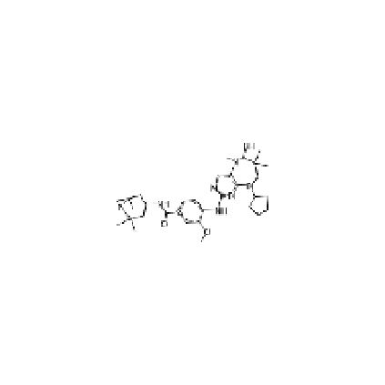 B=C1N(C)c2cnc(Nc3ccc(C(=O)NC4CC(C)(C)N5CC5(C)C4)cc3OC)nc2N(C2CCCC2)CC1(C)C